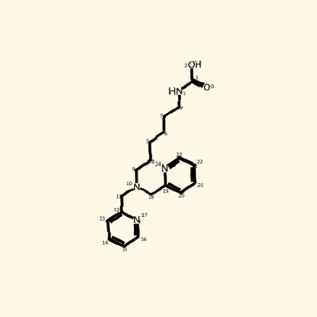 O=C(O)NCCCCCCN(Cc1ccccn1)Cc1ccccn1